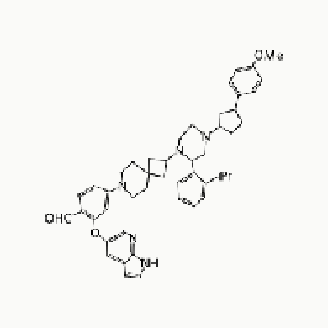 COc1ccc(C2CCC(N3CCN(C4CC5(CCN(c6ccc(C=O)c(Oc7cnc8[nH]ccc8c7)c6)CC5)C4)C(c4ccccc4C(C)C)C3)C2)cc1